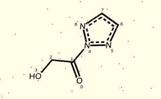 O=C(CO)n1nccn1